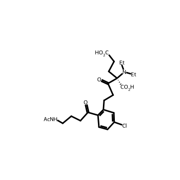 CCN(CC)[C@@](CCC(=O)O)(C(=O)O)C(=O)CCc1cc(Cl)ccc1C(=O)CCCNC(C)=O